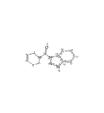 O=C(N1CC=CCC1)n1nnc2ccccc21